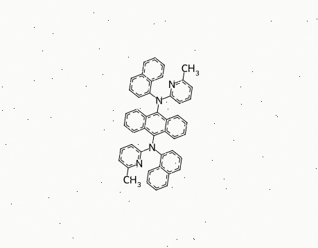 Cc1cccc(N(c2cccc3ccccc23)c2c3ccccc3c(N(c3cccc(C)n3)c3cccc4ccccc34)c3ccccc23)n1